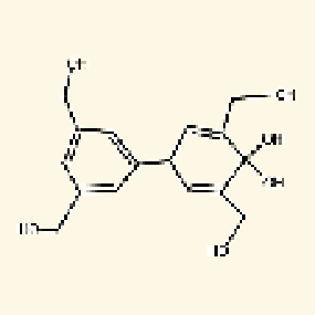 OCC1=CC(c2cc(CO)cc(CO)c2)C=C(CO)C1(O)O